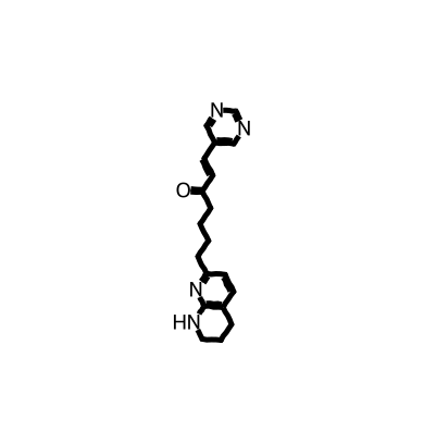 O=C(C=Cc1cncnc1)CCCCc1ccc2c(n1)NCCC2